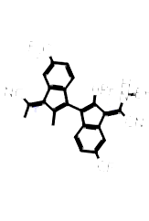 CCCC1=C(C2=C(C)/C(=C(\C)C#N)c3cc(C(F)(F)F)ccc32)c2ccc(C(F)(F)F)cc2/C1=C(\C#N)NCC